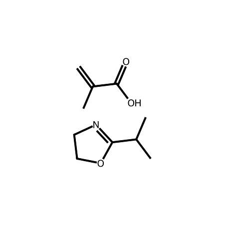 C=C(C)C(=O)O.CC(C)C1=NCCO1